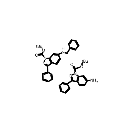 CC(C)(C)OC(=O)n1nc(-c2ccccc2)c2ccc(N)cc21.CC(C)(C)OC(=O)n1nc(-c2ccccc2)c2ccc(NCc3ccccc3)cc21